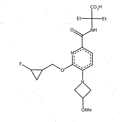 CCC(CC)(NC(=O)c1ccc(N2CC(OC)C2)c(OCC2CC2F)n1)C(=O)O